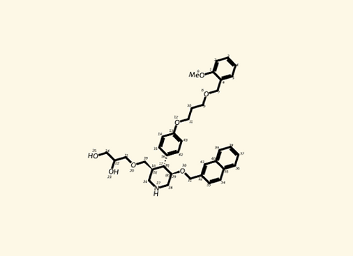 COc1ccccc1COCCCOc1ccc([C@H]2[C@H](COCC(O)CO)CNC[C@@H]2OCc2ccc3ccccc3c2)cc1